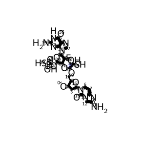 CO[C@H]1C[C@H](n2ccc3nc(N)cn3c2=O)O[C@@H]1CO/C(OC1[C@@H](OP(=O)(O)S)O[C@@H](n2cnc3c(=O)[nH]c(N)nc32)[C@@H]1F)=C(/O)S